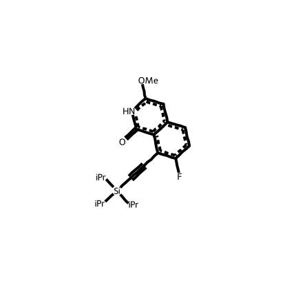 COc1cc2ccc(F)c(C#C[Si](C(C)C)(C(C)C)C(C)C)c2c(=O)[nH]1